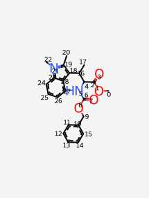 COC(=O)C(NC(=O)OCc1ccccc1)C(C)c1c(C)n(C)c2ccccc12